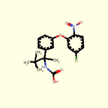 CC(C)(C)C(C)(NC(=O)O)c1cccc(Oc2cc(Cl)ccc2[N+](=O)[O-])c1